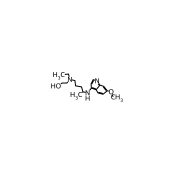 CCN(CCO)CCCC(C)Nc1ccnc2cc(OC)ccc12